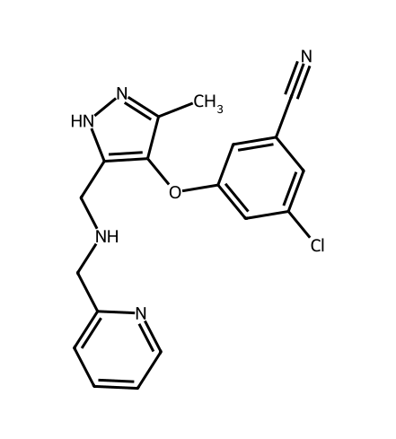 Cc1n[nH]c(CNCc2ccccn2)c1Oc1cc(Cl)cc(C#N)c1